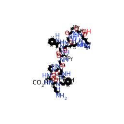 CC(C)C[C@H](NC(=O)[C@H](Cc1c[nH]c2ccccc12)NC(=O)[C@H](CCCCN)NC(=O)CNC(=O)[C@H](CC(C)C)NC(=O)[C@H](CO)NC(=O)[C@@H](N)Cc1cnc[nH]1)C(=O)NCC(=O)N[C@@H](Cc1cnc[nH]1)C(=O)N1CCC[C@H]1C(=O)N[C@@H](CC(=O)O)C(=O)N[C@@H](CCCCN)C(=O)N[C@@H](Cc1ccccc1)C(=O)O